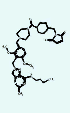 CCCCNc1nc(N)nc2cn(Cc3c(OC)ccc(CN4CCN(C(=O)C5CCC(CN6C(=O)C=CC6=O)CC5)CC4)c3OC)nc12